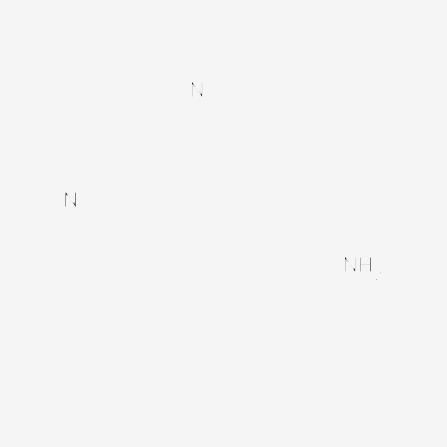 C=CCc1ccccc1CN.N#CC#N